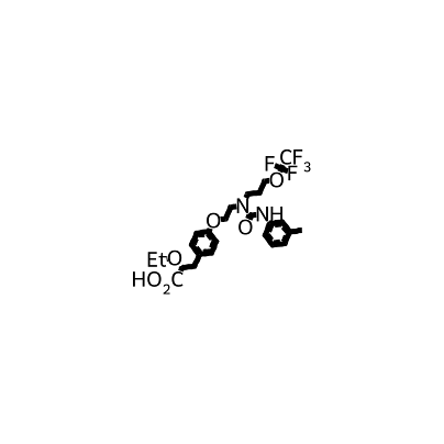 CCOC(Cc1ccc(OCCN(CCCOC(F)(F)C(F)(F)F)C(=O)Nc2cccc(C)c2)cc1)C(=O)O